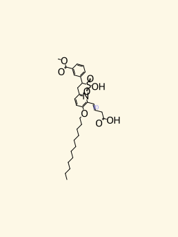 CCCCCCCCCCCCOc1ccc(CC(c2cccc(C(=O)OC)c2)S(=O)(=O)O)nc1/C=C/CC(=O)O